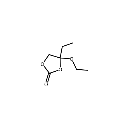 CCOC1(CC)COC(=O)O1